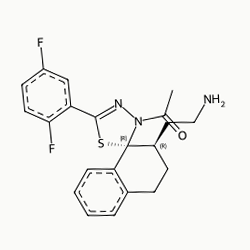 CC(=O)N1N=C(c2cc(F)ccc2F)S[C@]12c1ccccc1CC[C@@H]2CCN